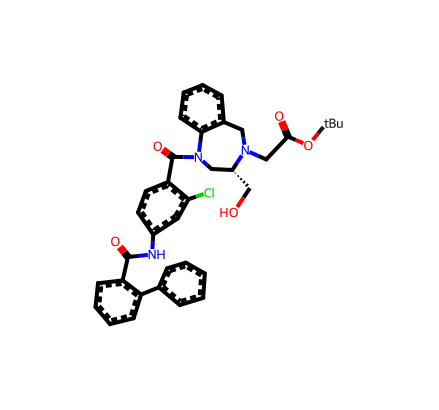 CC(C)(C)OC(=O)CN1Cc2ccccc2N(C(=O)c2ccc(NC(=O)c3ccccc3-c3ccccc3)cc2Cl)C[C@H]1CO